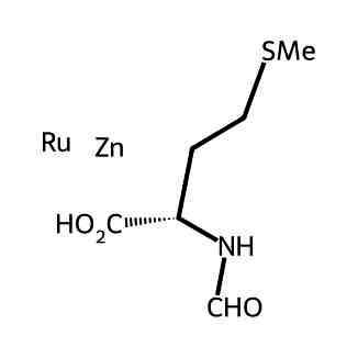 CSCC[C@H](NC=O)C(=O)O.[Ru].[Zn]